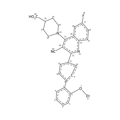 CCOc1ccccc1-c1ccc(-c2nc3ccc(F)cc3c(N3CCC(C(=O)O)CC3)c2C#N)cc1